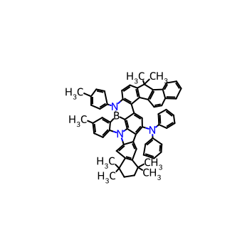 Cc1ccc(N2B3c4cc(C)ccc4-n4c5cc6c(cc5c5c(N(c7ccccc7)c7ccccc7)cc(c3c54)-c3c2ccc2c3-c3ccc4ccccc4c3C2(C)C)C(C)(C)CCC6(C)C)cc1